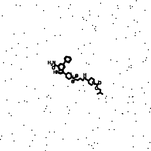 CC(C)COC(=O)N1CCC(NCCCS(=O)(=O)N2CCC(c3c[nH]c4c(C(N)=O)cc(-c5ccccc5)cc34)CC2)CC1